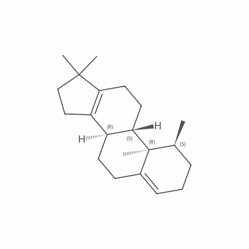 C[C@H]1CCC=C2CC[C@H]3C4=C(CC[C@@H]3[C@]21C)C(C)(C)CC4